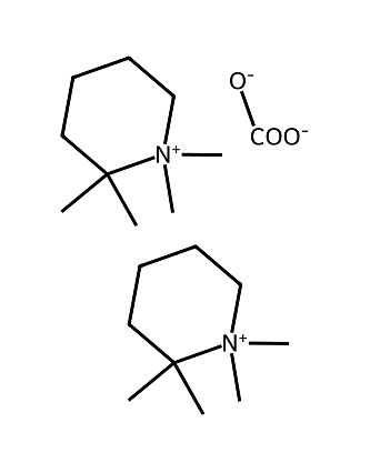 CC1(C)CCCC[N+]1(C)C.CC1(C)CCCC[N+]1(C)C.O=C([O-])[O-]